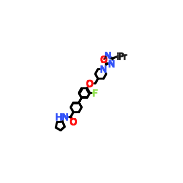 CC(C)c1noc(N2CCC(COc3ccc(C4=CCC(C(=O)NC5CCCC5)CC4)cc3F)CC2)n1